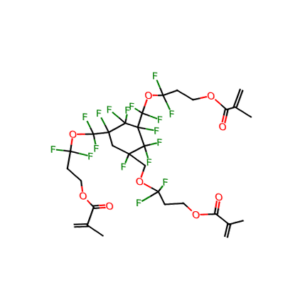 C=C(C)C(=O)OCCC(F)(F)OCC1(F)CC(F)(C(F)(F)OC(F)(F)CCOC(=O)C(=C)C)C(F)(F)C(F)(C(F)(F)OC(F)(F)CCOC(=O)C(=C)C)C1(F)F